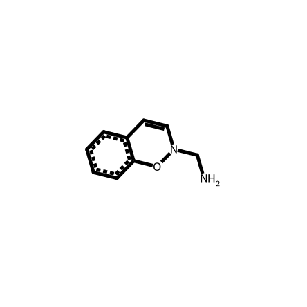 NCN1C=Cc2ccccc2O1